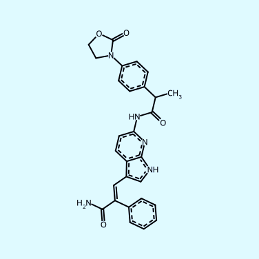 CC(C(=O)Nc1ccc2c(/C=C(/C(N)=O)c3ccccc3)c[nH]c2n1)c1ccc(N2CCOC2=O)cc1